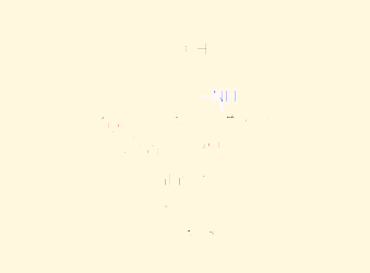 CCCOS(=O)(=O)c1ccc(C)c(NC(=O)OCc2ccccc2)c1